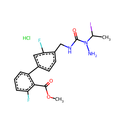 COC(=O)c1c(F)cccc1-c1ccc(CNC(=O)N(N)C(C)I)c(F)c1.Cl